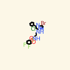 O=S(=O)(NCCCNc1cc(-c2ccccc2Cl)nc2c(Br)cnn12)c1ccc(F)c(F)c1